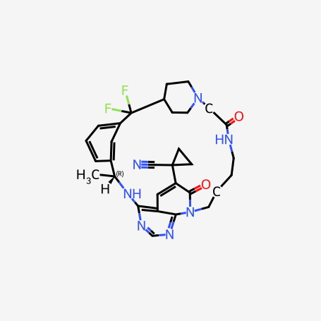 C[C@H]1Nc2ncnc3c2cc(C2(C#N)CC2)c(=O)n3CCCCNC(=O)CN2CCC(CC2)C(F)(F)c2cccc1c2